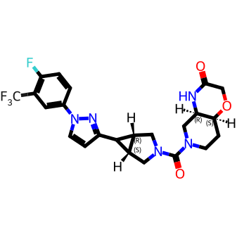 O=C1CO[C@H]2CCN(C(=O)N3C[C@@H]4C(c5ccn(-c6ccc(F)c(C(F)(F)F)c6)n5)[C@@H]4C3)C[C@H]2N1